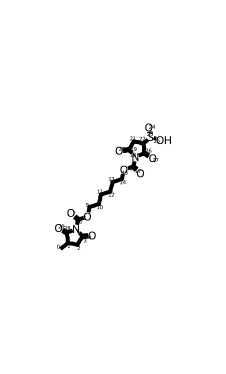 CC1CC(=O)N(C(=O)OCCCCCCOC(=O)N2C(=O)CC(S(=O)O)C2=O)C1=O